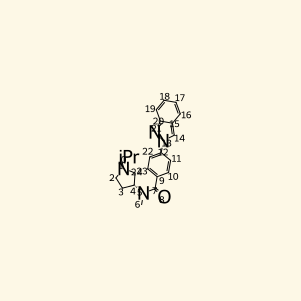 CC(C)N1CC[C@@H](N(C)C(=O)c2ccc(-n3cc4ccccc4n3)cc2)C1